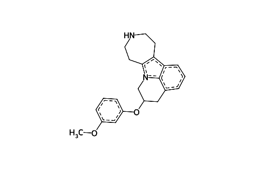 COc1cccc(OC2Cc3cccc4c5c(n(c34)C2)CCNCC5)c1